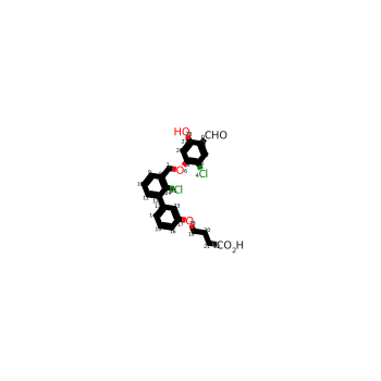 O=Cc1cc(Cl)c(OCc2cccc(-c3cccc(OCCCC(=O)O)c3)c2Cl)cc1O